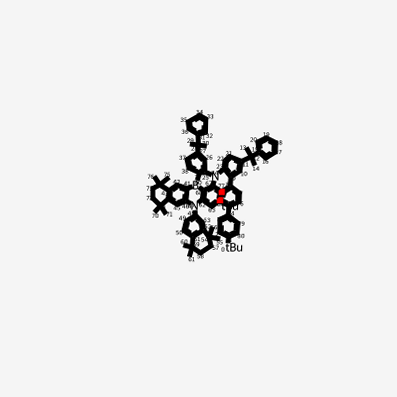 CC(C)(C)c1ccc(-c2ccc(-c3cc(C(C)(C)c4ccccc4)ccc3N3c4cc(C(C)(C)c5ccccc5)ccc4B4c5cc6c(cc5N(c5ccc7c(c5)C(C)(C)CCC7(C)C)c5cc(C(C)(C)C)cc3c54)C(C)(C)CCC6(C)C)cc2)cc1